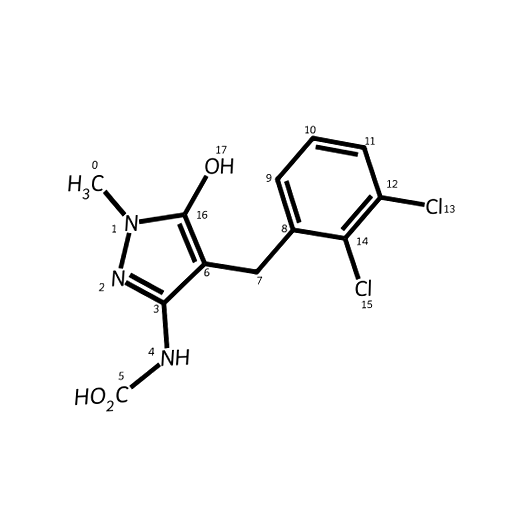 Cn1nc(NC(=O)O)c(Cc2cccc(Cl)c2Cl)c1O